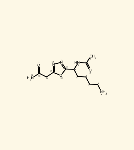 CC(=O)NC(CCCCN)c1nnc(CC(N)=O)o1